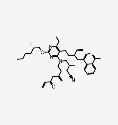 C=CC(=O)CC(=C)CCN(CC(C)CC#N)c1nc(OC[C@@H](C)CCCC)nc(CC)c1CCC(C=C)C/C(=C/C)c1ccccc1C(=C)C